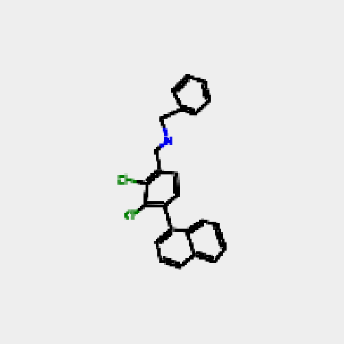 Clc1c(C[N]Cc2ccccc2)ccc(-c2cccc3ccccc23)c1Cl